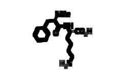 CN[C@@H](Cc1ccccc1)C(=O)N[C@@H](CCCCN)C(=O)O